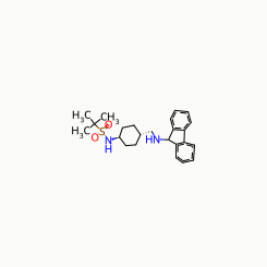 CC(C)(C)S(=O)(=O)N[C@H]1CC[C@H](CNC2c3ccccc3-c3ccccc32)CC1